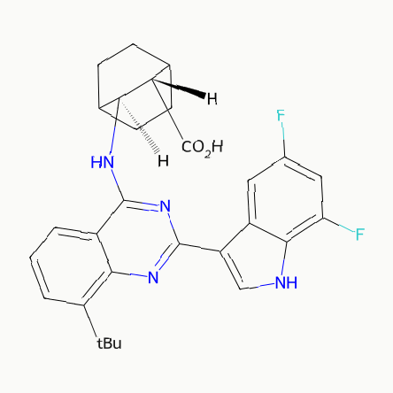 CC(C)(C)c1cccc2c(N[C@H]3C4CCC(CC4)[C@@H]3C(=O)O)nc(-c3c[nH]c4c(F)cc(F)cc34)nc12